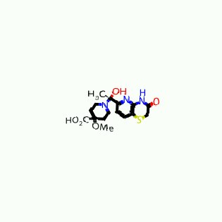 COC1(C(=O)O)CCN([C@@](C)(O)c2ccc3c(n2)NC(=O)CS3)CC1